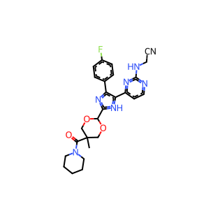 CC1(C(=O)N2CCCCC2)COC(c2nc(-c3ccc(F)cc3)c(-c3ccnc(NCC#N)n3)[nH]2)OC1